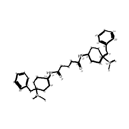 CN(C)C1(Cc2ccccc2)CCC(NC(=O)CCCC(=O)NC2CCC(Cc3ccccc3)(N(C)C)CC2)CC1